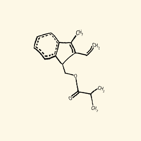 C=CC1=C(C)c2ccccc2C1COC(=O)C(C)C